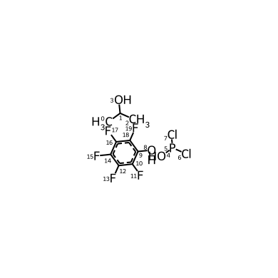 CC(C)O.OP(Cl)Cl.Oc1c(F)c(F)c(F)c(F)c1F